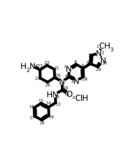 Cl.Cn1cc(-c2cnc(N(C(=O)NCc3ccccc3)C3CCC(N)CC3)nc2)cn1